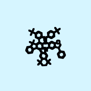 CC(C)(C)c1ccc(N2B3c4cc5c(cc4-n4c6cc7c(cc6c6c8c(c(c3c64)-c3cc(C(C)(C)C)ccc32)C(C)(C)c2ccccc2-8)C(C)(C)CCC7(C)C)C(c2ccccc2)CO5)cc1